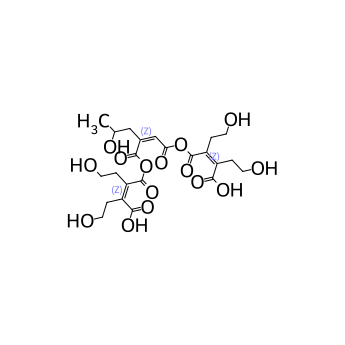 CC(O)C/C(=C/C(=O)OC(=O)/C(CCO)=C(/CCO)C(=O)O)C(=O)OC(=O)/C(CCO)=C(/CCO)C(=O)O